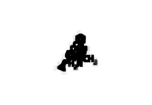 CN1C(=O)C2(C[C@@](C)(Cc3ccccc3)Oc3ccc(/C=C/C4CC4)cc32)N=C1N